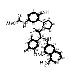 COC(=O)Nc1ccc(S)c([C@H]2CCCN2C(=O)[C@@H](Nc2ccc3c(N)nccc3c2)c2cc(OC)c(F)cc2F)c1